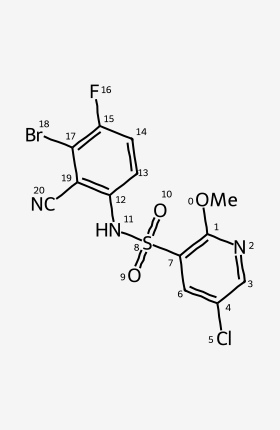 COc1ncc(Cl)cc1S(=O)(=O)Nc1ccc(F)c(Br)c1C#N